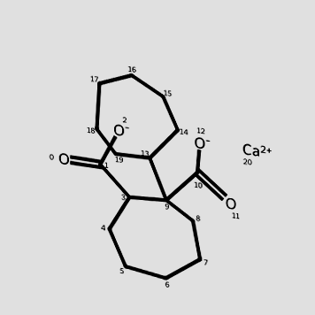 O=C([O-])C1CCCCCC1(C(=O)[O-])C1CCCCCC1.[Ca+2]